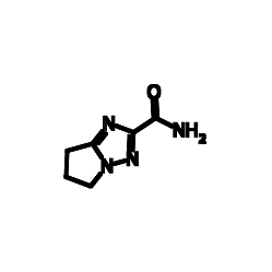 NC(=O)c1nc2n(n1)CCC2